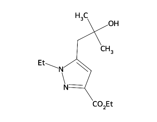 CCOC(=O)c1cc(CC(C)(C)O)n(CC)n1